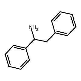 N[C](Cc1ccccc1)c1ccccc1